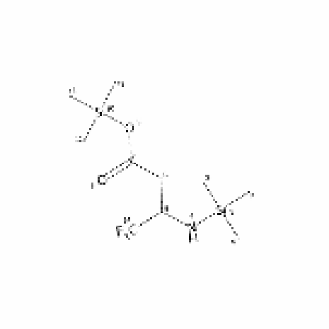 C[Si](C)(C)NC(CC(=O)O[Si](C)(C)C)C(F)(F)F